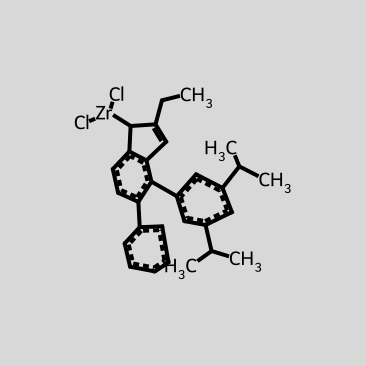 CCC1=Cc2c(ccc(-c3ccccc3)c2-c2cc(C(C)C)cc(C(C)C)c2)[CH]1[Zr]([Cl])[Cl]